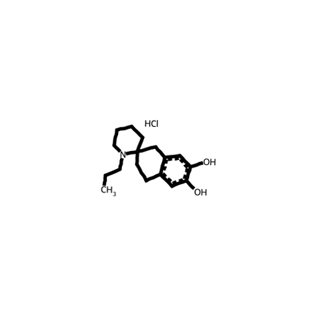 CCCN1CCCCC12CCc1cc(O)c(O)cc1C2.Cl